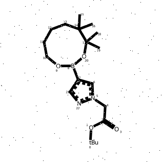 CC(C)(C)OC(=O)Cn1cc(B2OCCCCC(C)(C)C(C)(C)O2)cn1